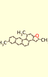 Cc1ccc2cc3c(ccc4c5cc(C)oc5cc(C)c34)cc2c1